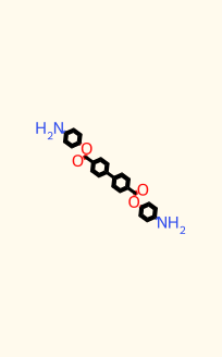 Nc1ccc(OC(=O)c2ccc(-c3ccc(C(=O)Oc4ccc(N)cc4)cc3)cc2)cc1